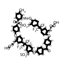 COc1ccc(C(c2ccc(Oc3ccc(C(=O)c4ccc(Oc5ccc(C(c6ccc(Oc7ccc(S(=O)(=O)c8ccc(C)cc8)cc7)c(SOOO)c6)(C(F)(F)F)C(F)(F)F)cc5S(=O)(=O)O)cc4)cc3)c(SOOO)c2)(C(F)(F)F)C(F)(F)F)cc1S(=O)(=O)O